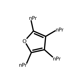 CCCc1oc(CCC)c(CCC)c1CCC